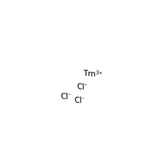 [Cl-].[Cl-].[Cl-].[Tm+3]